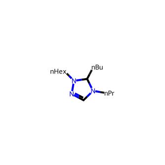 CCCCCCN1N=CN(CCC)C1CCCC